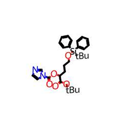 CC(C)(C)OC(=O)C(CCCO[Si](c1ccccc1)(c1ccccc1)C(C)(C)C)OC(=O)n1ccnc1